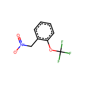 O=[N+]([O-])Cc1ccccc1OC(F)(F)F